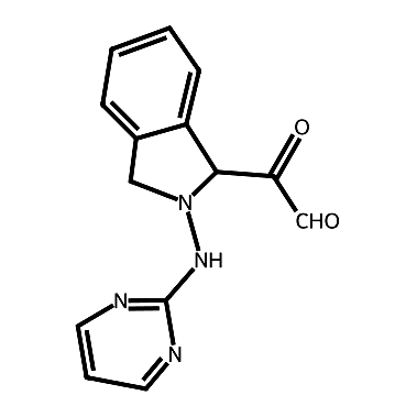 O=CC(=O)C1c2ccccc2CN1Nc1ncccn1